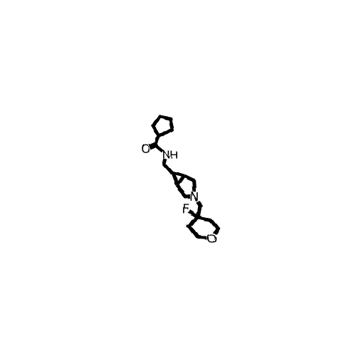 O=C(NCC1C2CN(CC3(F)CCOCC3)CC12)C1CCCC1